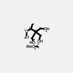 CCOC(C)C(CO)(CO)CO.COC